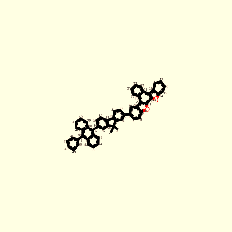 CC1(C)c2cc(-c3ccc4oc5c6oc7ccccc7c6c6ccccc6c5c4c3)ccc2-c2ccc(-c3c4ccccc4c(-c4ccccc4)c4ccccc34)cc21